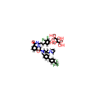 CC(C)(CN1CCCC1)CN(Cc1ccc(-c2ccc(C(F)(F)F)cc2)cc1)C(=O)Cn1c(CCc2cccc(F)c2F)nc(=O)c2ccccc21.O=C(O)C(O)C(O)C(=O)O